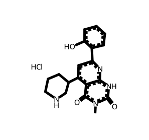 Cl.Cn1c(=O)[nH]c2nc(-c3ccccc3O)cc(C3CCCNC3)c2c1=O